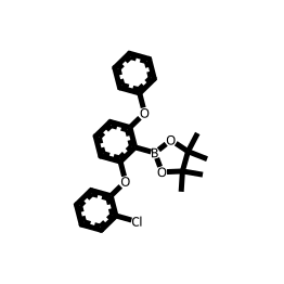 CC1(C)OB(c2c(Oc3ccccc3)cccc2Oc2ccccc2Cl)OC1(C)C